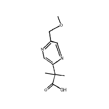 COCc1cnc(C(C)(C)C(=O)O)cn1